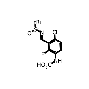 CC(C)(C)[S+]([O-])N=Cc1c(Cl)ccc(NC(=O)O)c1F